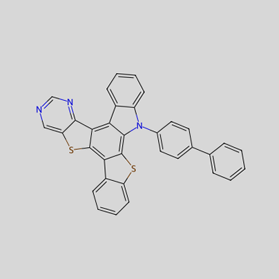 c1ccc(-c2ccc(-n3c4ccccc4c4c5c6ncncc6sc5c5c6ccccc6sc5c43)cc2)cc1